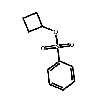 O=S(=O)(OC1CCC1)c1ccccc1